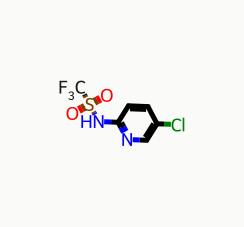 O=S(=O)(Nc1ccc(Cl)cn1)C(F)(F)F